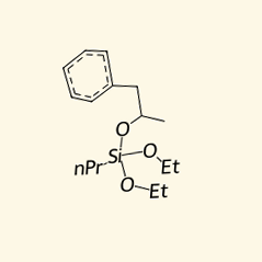 CCC[Si](OCC)(OCC)OC(C)Cc1ccccc1